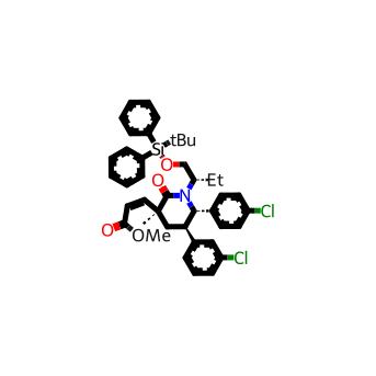 CC[C@@H](CO[Si](c1ccccc1)(c1ccccc1)C(C)(C)C)N1C(=O)[C@](C)(C=CC(=O)OC)C[C@H](c2cccc(Cl)c2)[C@H]1c1ccc(Cl)cc1